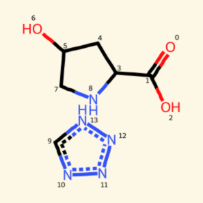 O=C(O)C1CC(O)CN1.c1nnn[nH]1